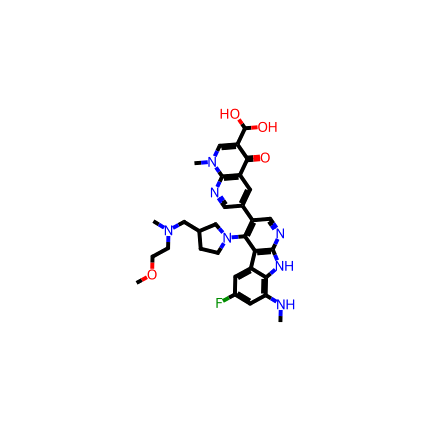 CNc1cc(F)cc2c1[nH]c1ncc(-c3cnc4c(c3)c(=O)c(C(O)O)cn4C)c(N3CCC(CN(C)CCOC)C3)c12